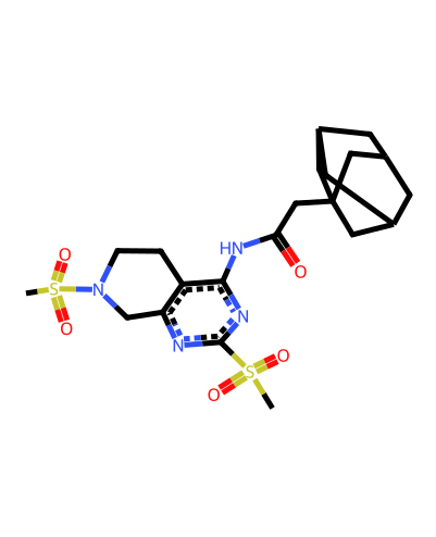 CS(=O)(=O)c1nc2c(c(NC(=O)CC34CC5CC(CC(C5)C3)C4)n1)CCN(S(C)(=O)=O)C2